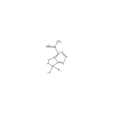 CC(=N)c1cccc2c1CCC2(F)F